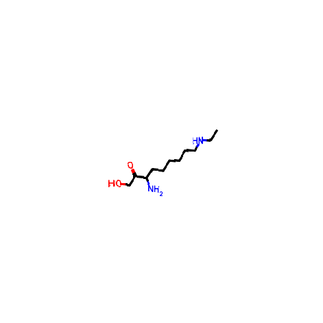 CCNCCCCCCC(N)C(=O)CO